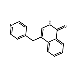 O=c1[nH]cc(Cc2ccncc2)c2ccccc12